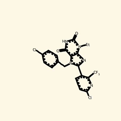 CCn1c(=O)[nH]c(=O)c2c1nc(-c1ccc(Cl)nc1C(F)(F)F)n2Cc1ccc(Cl)cc1